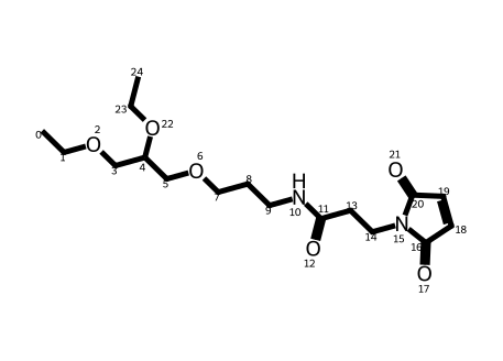 CCOCC(COCCCNC(=O)CCN1C(=O)C=CC1=O)OCC